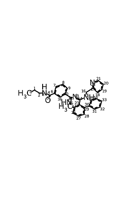 CCCNC(=O)c1cccc(C(=N)/N=C(/NCc2ccccn2)c2c(C)cccc2-c2ccccc2)c1